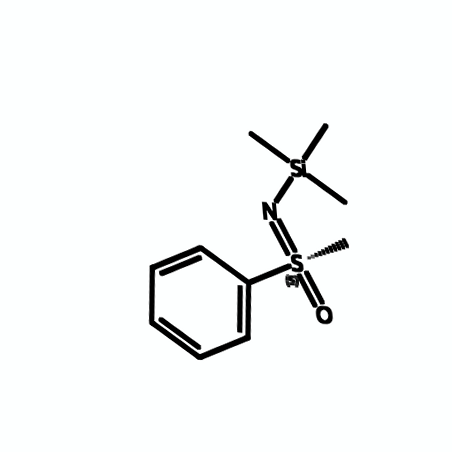 C[Si](C)(C)N=[S@@](C)(=O)c1ccccc1